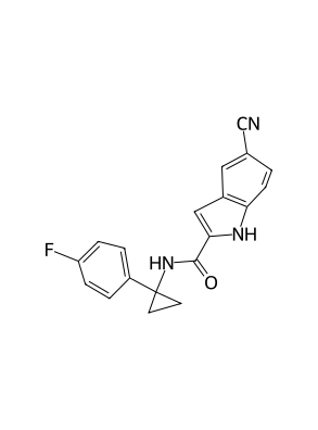 N#Cc1ccc2[nH]c(C(=O)NC3(c4ccc(F)cc4)CC3)cc2c1